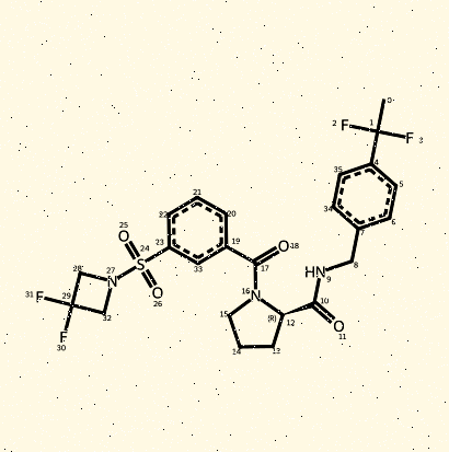 CC(F)(F)c1ccc(CNC(=O)[C@H]2CCCN2C(=O)c2cccc(S(=O)(=O)N3CC(F)(F)C3)c2)cc1